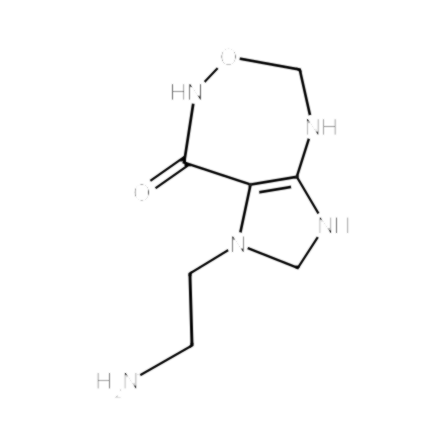 NCCN1CNC2=C1C(=O)NOCN2